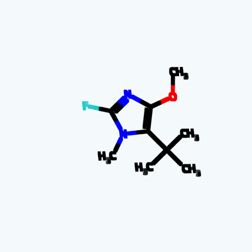 COc1nc(F)n(C)c1C(C)(C)C